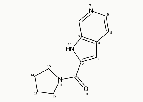 O=C(c1cc2ccncc2[nH]1)N1CCCC1